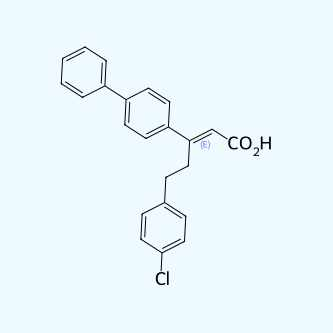 O=C(O)/C=C(\CCc1ccc(Cl)cc1)c1ccc(-c2ccccc2)cc1